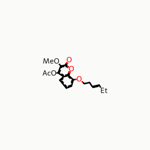 CCC=CCCOc1cccc2c(OC(C)=O)c(OC)c(=O)oc12